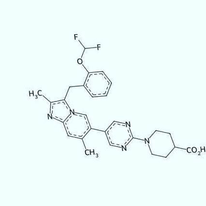 Cc1cc2nc(C)c(Cc3ccccc3OC(F)F)n2cc1-c1cnc(N2CCC(C(=O)O)CC2)nc1